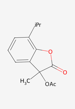 CC(=O)OC1(C)C(=O)Oc2c(C(C)C)cccc21